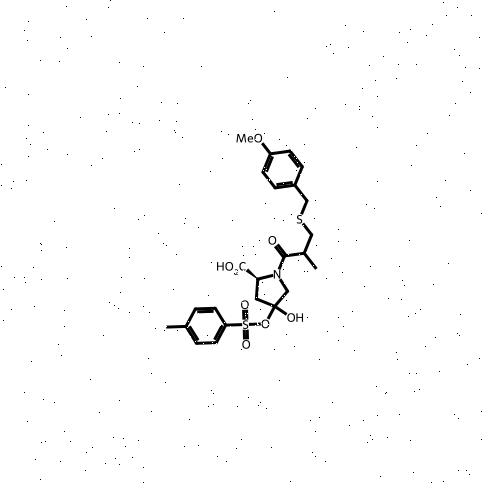 COc1ccc(CSCC(C)C(=O)N2CC(O)(OS(=O)(=O)c3ccc(C)cc3)C[C@H]2C(=O)O)cc1